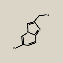 [O]Cc1cn2cc(Br)ccc2n1